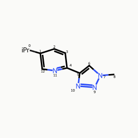 CC(C)c1ccc(-c2cn(C)nn2)nc1